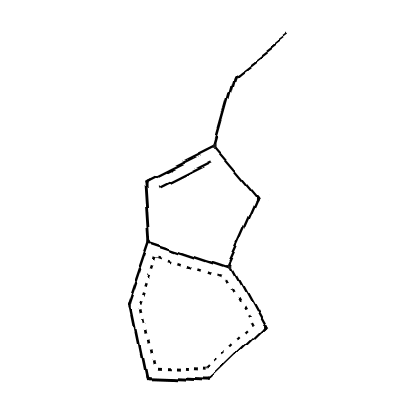 CCC1=Cc2ccccc2[C]1